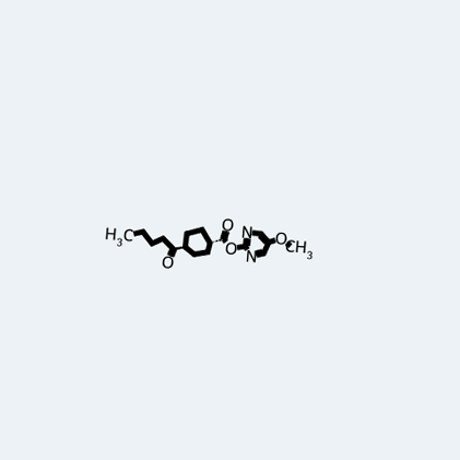 CCCCC(=O)[C@H]1CC[C@H](C(=O)Oc2ncc(OC)cn2)CC1